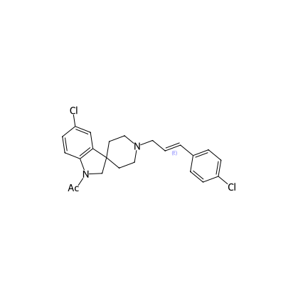 CC(=O)N1CC2(CCN(C/C=C/c3ccc(Cl)cc3)CC2)c2cc(Cl)ccc21